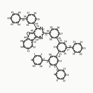 c1ccc(-c2cc(-c3ccccc3)cc(-c3cc(-c4ccccc4)cc(-c4cccc(-c5nc(-c6cccc(-c7ccccc7)c6)c6oc7ccccc7c6n5)c4)c3)c2)cc1